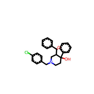 O=C(c1ccccc1)C1CN(Cc2ccc(Cl)cc2)CCC1(O)c1ccccc1